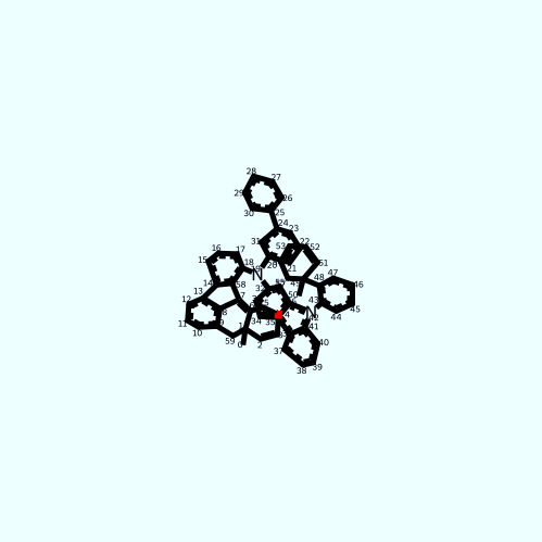 CC12C=CC=CC1=C1c3c(cccc3-c3cccc(N(c4cccc(-c5ccccc5)c4)c4ccc5c6ccccc6n(-c6ccccc6C6(C)C=CC=CC6)c5c4)c31)C2